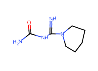 N=C(NC(N)=O)N1CCCCC1